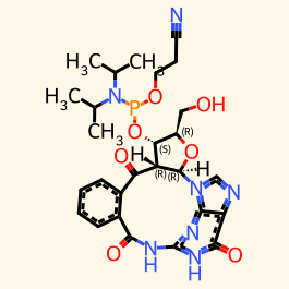 CC(C)N(C(C)C)P(OCCC#N)O[C@H]1[C@H]2C(=O)c3ccccc3C(=O)Nc3nc4c(ncn4[C@@H]2O[C@@H]1CO)c(=O)[nH]3